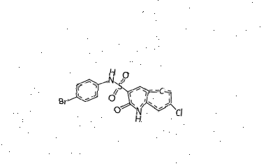 O=c1[nH]c2cc(Cl)ccc2cc1S(=O)(=O)Nc1ccc(Br)cc1